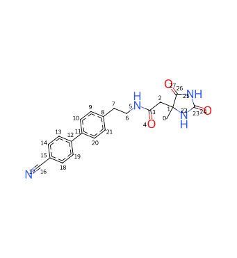 CC1(CC(=O)NCCc2ccc(-c3ccc(C#N)cc3)cc2)NC(=O)NC1=O